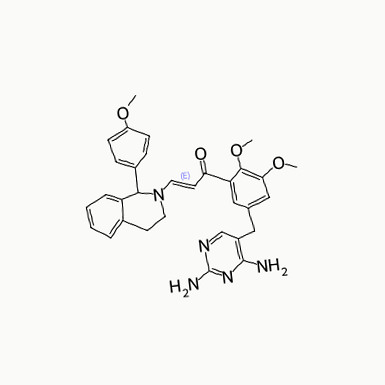 COc1ccc(C2c3ccccc3CCN2/C=C/C(=O)c2cc(Cc3cnc(N)nc3N)cc(OC)c2OC)cc1